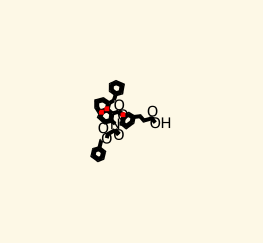 O=C(O)CCc1ccc(N(C(=O)C(=O)OCc2ccccc2)c2ccccc2C(=O)OC(c2ccccc2)c2ccccc2)cc1